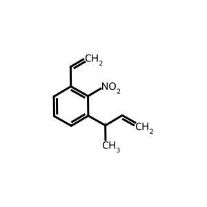 C=C[C](C)c1cccc(C=C)c1[N+](=O)[O-]